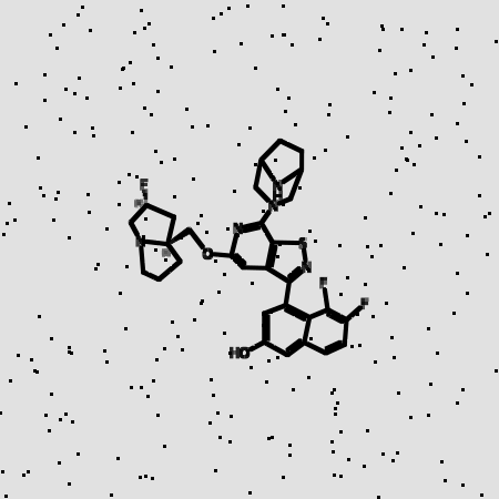 Oc1cc(-c2nsc3c(N4CC5CCC(C4)N5)nc(OC[C@@]45CCCN4C[C@H](F)C5)cc23)c2c(F)c(F)ccc2c1